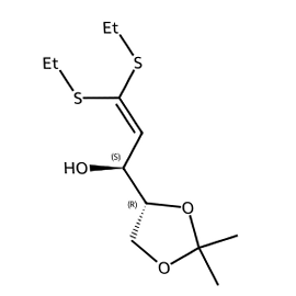 CCSC(=C[C@H](O)[C@H]1COC(C)(C)O1)SCC